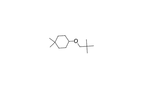 CC(C)(C)COC1CCC(C)(C)CC1